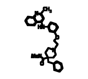 CNC(=O)C1(Cc2ccccc2)CCN(CCOc2cccc(Nc3cc(C)nc4ccccc34)c2)CC1